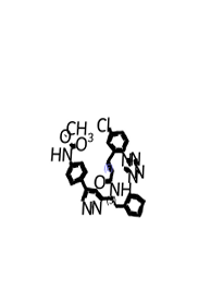 COC(=O)Nc1ccc(-c2cnnc([C@H](Cc3ccccc3)NC(=O)/C=C/c3cc(Cl)ccc3-n3cnnn3)c2)cc1